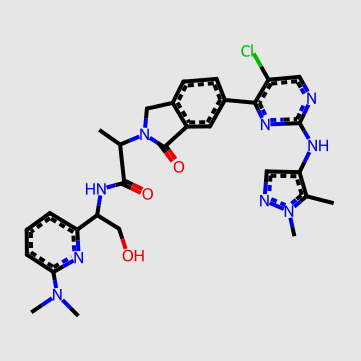 Cc1c(Nc2ncc(Cl)c(-c3ccc4c(c3)C(=O)N(C(C)C(=O)NC(CO)c3cccc(N(C)C)n3)C4)n2)cnn1C